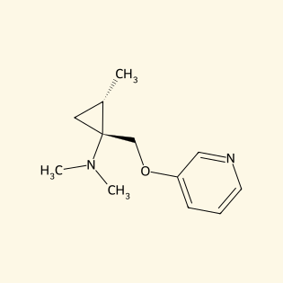 C[C@H]1C[C@@]1(COc1cccnc1)N(C)C